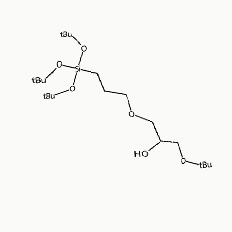 CC(C)(C)OCC(O)COCCC[Si](OC(C)(C)C)(OC(C)(C)C)OC(C)(C)C